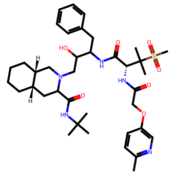 Cc1ccc(OCC(=O)N[C@H](C(=O)NC(Cc2ccccc2)C(O)CN2C[C@H]3CCCC[C@H]3CC2C(=O)NC(C)(C)C)C(C)(C)S(C)(=O)=O)cn1